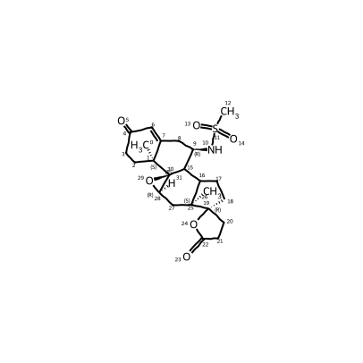 C[C@]12CCC(=O)C=C1C[C@@H](NS(C)(=O)=O)C1C3CC[C@@]4(CCC(=O)O4)[C@@]3(C)C[C@H]3O[C@@]132